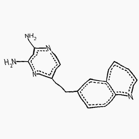 Nc1ncc(Cc2ccc3ncccc3c2)nc1N